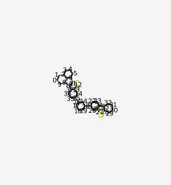 C1=Cc2cccc3c2C(C1)c1c-3sc2cc(-c3cccc(-c4ccc5c(c4)sc4ccccc45)c3)ccc12